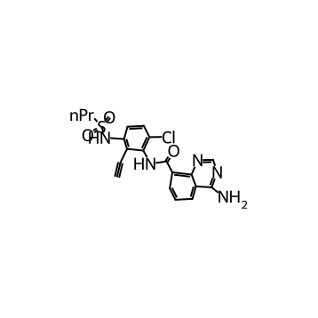 C#Cc1c(NS(=O)(=O)CCC)ccc(Cl)c1NC(=O)c1cccc2c(N)ncnc12